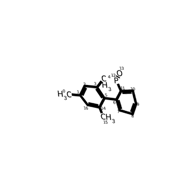 Cc1cc(C)c(-c2ccccc2P=O)c(C)c1